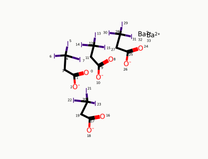 O=C([O-])CC(I)(I)I.O=C([O-])CC(I)(I)I.O=C([O-])CC(I)(I)I.O=C([O-])CC(I)(I)I.[Ba+2].[Ba+2]